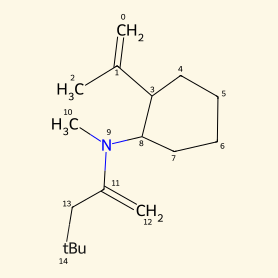 C=C(C)C1CCCCC1N(C)C(=C)CC(C)(C)C